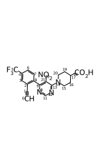 C#Cc1cc(C(F)(F)F)ccc1-c1ncnc(N2CCC(C(=O)O)CC2)c1[N+](=O)[O-]